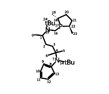 CC(CCC(C)(C)N(c1ccccc1)C(C)(C)C)N(CP1[C@H](C)CC[C@H]1C)C(C)(C)C